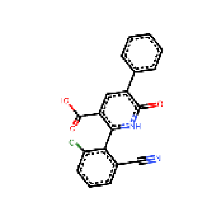 N#Cc1cccc(Cl)c1-c1[nH]c(=O)c(-c2ccccc2)cc1C(=O)O